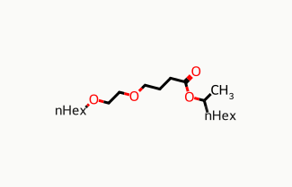 CCCCCCOCCOCCCC(=O)OC(C)CCCCCC